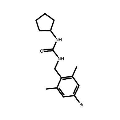 Cc1cc(Br)cc(C)c1CNC(=O)NC1CCCC1